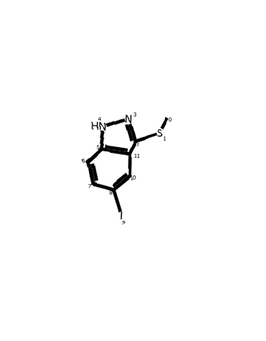 CSc1n[nH]c2ccc(I)cc12